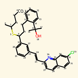 CC(CCC(=O)O)SC(CCc1ccccc1C(C)(C)O)c1cccc(C=Cc2ccc3ccc(Cl)cc3n2)c1